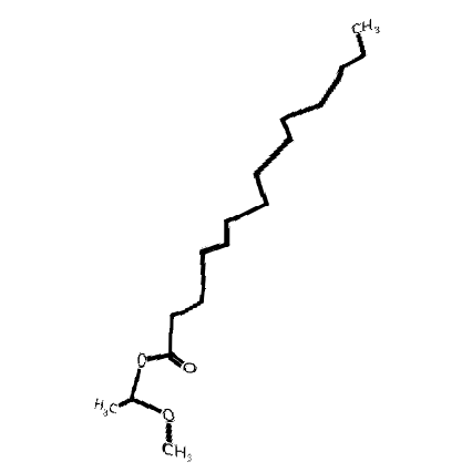 CCCCCCCCCCCCCC(=O)OC(C)OC